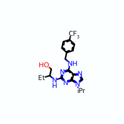 CCC(CO)Nc1nc(NCc2ccc(C(F)(F)F)cc2)c2ncn(C(C)C)c2n1